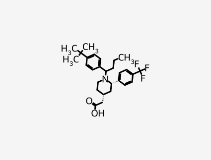 CCCC(c1ccc(C(C)(C)C)cc1)N1CC[C@@H](CC(=O)O)C[C@H]1c1ccc(C(F)(F)F)cc1